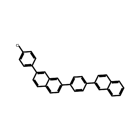 Clc1ccc(-c2ccc3ccc(-c4ccc(-c5ccc6ccccc6c5)cc4)cc3c2)cc1